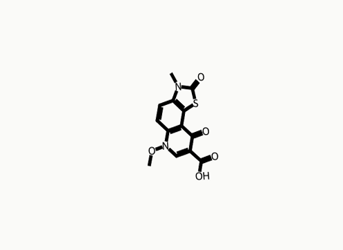 COn1cc(C(=O)O)c(=O)c2c3sc(=O)n(C)c3ccc21